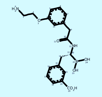 NCCOc1cccc(CC(=O)N[C@@H](Cc2cccc(C(=O)O)c2)B(O)O)c1